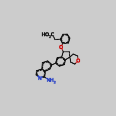 Nc1nccc2ccc(-c3ccc4c(c3)C(Oc3ccccc3CC(=O)O)CC43CCOCC3)cc12